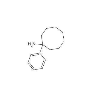 NC1(c2ccccc2)CCCCCCC1